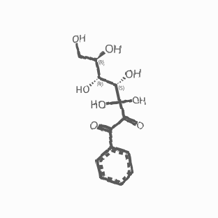 O=C(C(=O)C(O)(O)[C@@H](O)[C@H](O)[C@H](O)CO)c1ccccc1